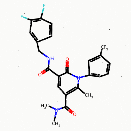 Cc1c(C(=O)N(C)C)cc(C(=O)NCc2ccc(F)c(F)c2)c(=O)n1-c1cccc(C(F)(F)F)c1